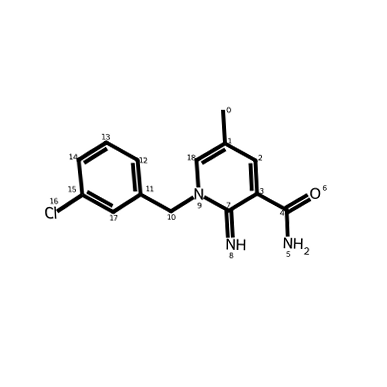 Cc1cc(C(N)=O)c(=N)n(Cc2cccc(Cl)c2)c1